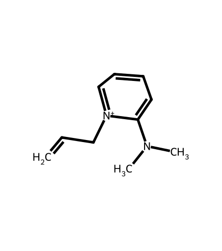 C=CC[n+]1ccccc1N(C)C